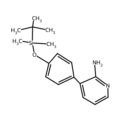 CC(C)(C)[Si](C)(C)Oc1ccc(-c2cccnc2N)cc1